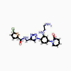 NCCNc1cc(-n2ccccc2=O)ccc1-n1cc(CNC(=O)c2ccc(Cl)s2)nn1